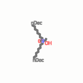 CCCCCCCCCCCCCCCCCC[N+]([O-])(CCCCCCCCCCCCCCCCCC)C(C)O